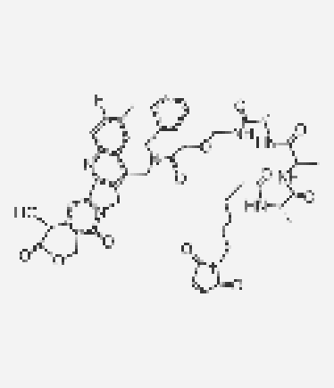 Cc1cc2c(CN(Cc3ccccc3)C(=O)COCNC(=O)[C@H](C)NC(=O)[C@@H](C)NC(=O)[C@H](C)NC(=O)CCCCCN3C(=O)C=CC3=O)c3c(nc2cc1F)-c1cc2c(c(=O)n1C3)COC(=O)[C@H]2O